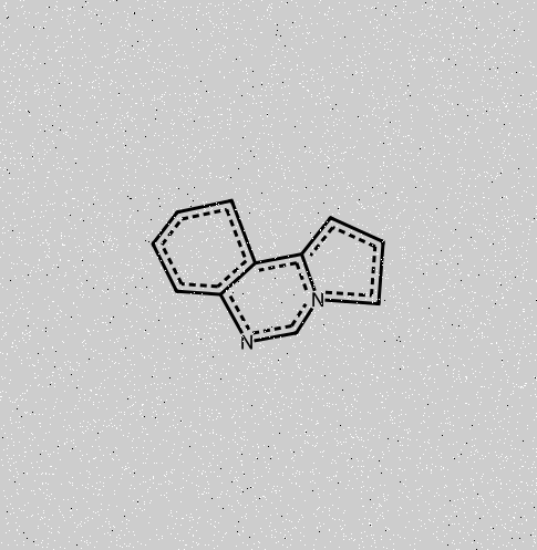 c1ccc2c(c1)ncn1cccc21